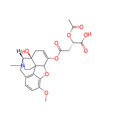 COc1ccc2c3c1OC1C(OC(=O)C[C@H](OC(C)=O)C(=O)O)=CC[C@@]4(O)[C@@H](C2)N(C)CCC314